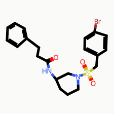 O=C(CCc1ccccc1)NC1CCCN(S(=O)(=O)Cc2ccc(Br)cc2)C1